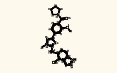 COc1cc(-c2nc(Nc3ccc4[nH]ncc4c3Cl)n(C)n2)ccc1C(=O)N1CCCC1